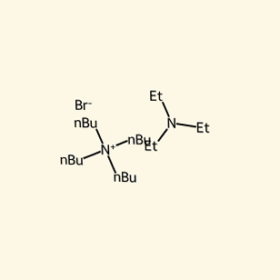 CCCC[N+](CCCC)(CCCC)CCCC.CCN(CC)CC.[Br-]